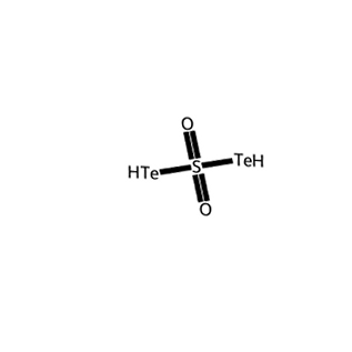 O=S(=O)([TeH])[TeH]